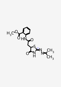 COC(=O)c1ccccc1NC(=O)CC1S/C(=N/N=C(C)C)NC1=O